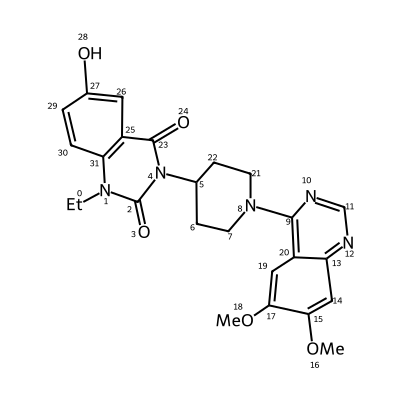 CCn1c(=O)n(C2CCN(c3ncnc4cc(OC)c(OC)cc34)CC2)c(=O)c2cc(O)ccc21